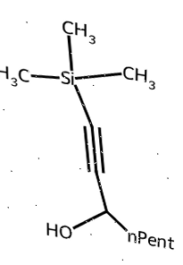 CCCCCC(O)C#C[Si](C)(C)C